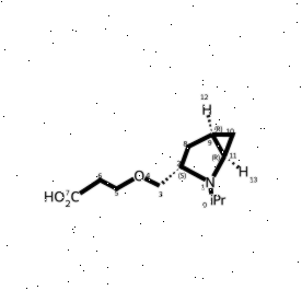 CC(C)N1[C@H](COCCC(=O)O)C[C@H]2C[C@H]21